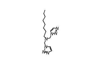 CCCCCCCCN(Cn1ccnn1)Cn1ccnn1